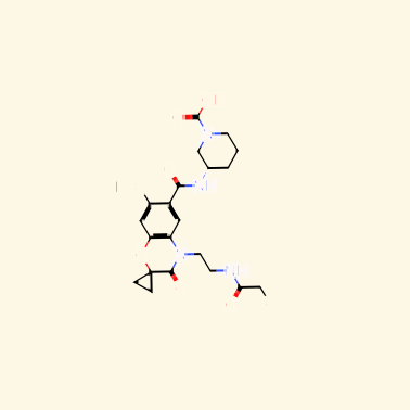 CCC(=O)NCCN1C(=O)C2(CC2)Oc2cc(C)c(C(=O)N[C@@H]3CCCN(C(=O)O)C3)cc21